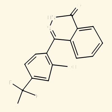 O=c1[nH]nc(-c2ccc(C(F)(F)F)cc2O)c2ccccc12